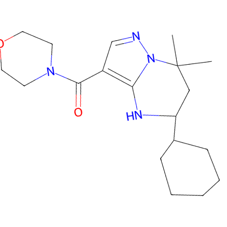 CC1(C)CC(C2CCCCC2)Nc2c(C(=O)N3CCOCC3)cnn21